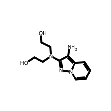 Nc1c(N(CCO)CCO)nn2ccccc12